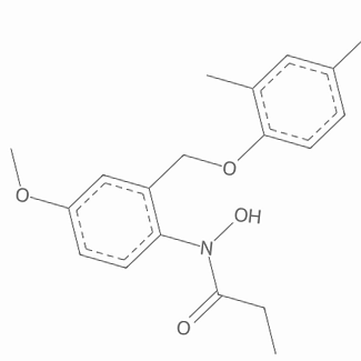 CCC(=O)N(O)c1ccc(OC)cc1COc1ccc(C)cc1C